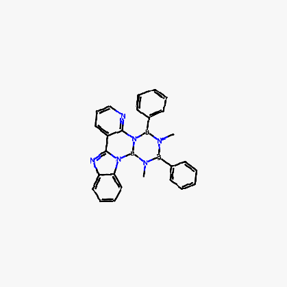 CN1B(c2ccccc2)N(C)B2N(B1c1ccccc1)c1ncccc1-c1nc3ccccc3n12